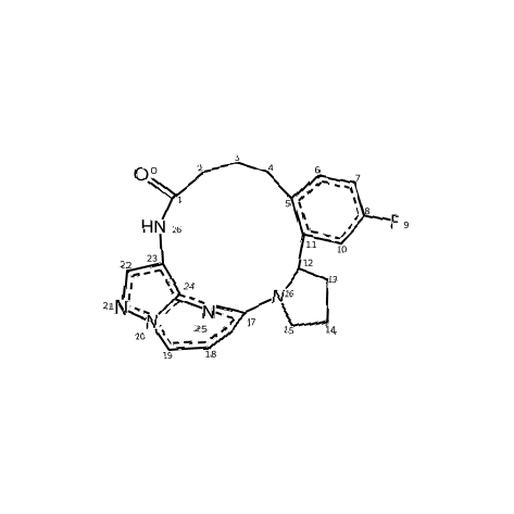 O=C1CCCc2ccc(F)cc2C2CCCN2c2ccn3ncc(c3n2)N1